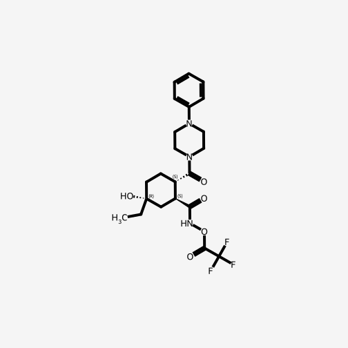 CC[C@@]1(O)CC[C@H](C(=O)N2CCN(c3ccccc3)CC2)[C@@H](C(=O)NOC(=O)C(F)(F)F)C1